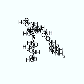 C[C@H](CCC(=O)N[C@@H](CC(=O)NCCS(=O)(=O)O)C(=O)N[C@@H](CSSCCNC(=O)[C@@H](N)CC(=O)NCCS(=O)(=O)O)C(=O)O)NC(=O)c1ccc(NCc2cnc3nc(N)[nH]c(=O)c3n2)cc1